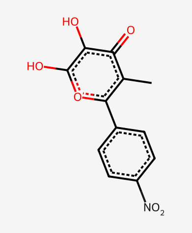 Cc1c(-c2ccc([N+](=O)[O-])cc2)oc(O)c(O)c1=O